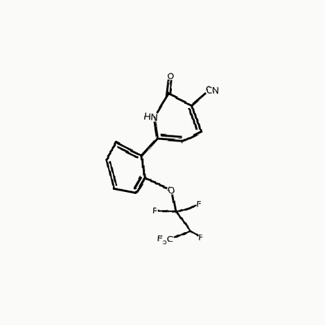 N#Cc1ccc(-c2ccccc2OC(F)(F)C(F)C(F)(F)F)[nH]c1=O